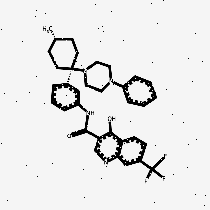 C[C@H]1CC[C@](c2cccc(NC(=O)c3cnc4cc(C(F)(F)F)ccc4c3O)c2)(N2CCN(c3ccccc3)CC2)CC1